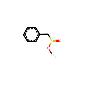 O=S(Cc1ccccc1)OC(F)(F)F